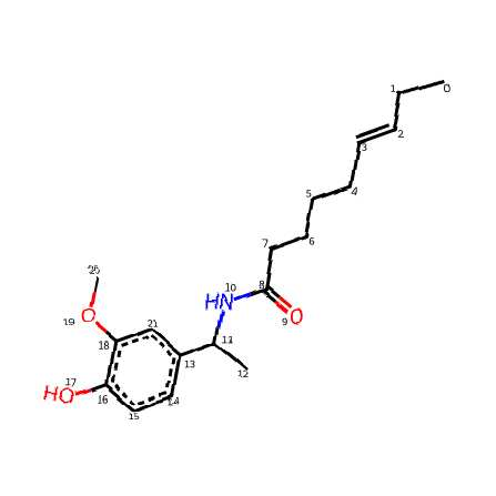 CCC=CCCCCC(=O)NC(C)c1ccc(O)c(OC)c1